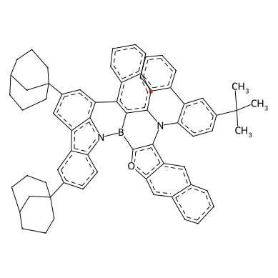 CC(C)(C)c1ccc(N2c3cc4ccccc4c4c3B(c3oc5cc6ccccc6cc5c32)n2c3ccc(C56CCCC(CCC5)C6)cc3c3cc(C56CCCC(CCC5)C6)cc-4c32)c(-c2ccccc2)c1